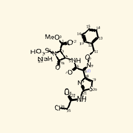 COC(=O)C1C(NC(=O)/C(=N\OCc2ccccc2)c2csc(NC(=O)CCl)n2)C(=O)N1S(=O)(=O)O.[NaH]